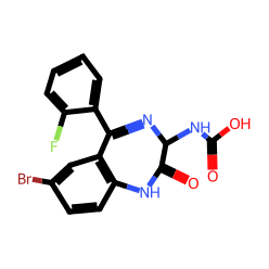 O=C(O)NC1N=C(c2ccccc2F)c2cc(Br)ccc2NC1=O